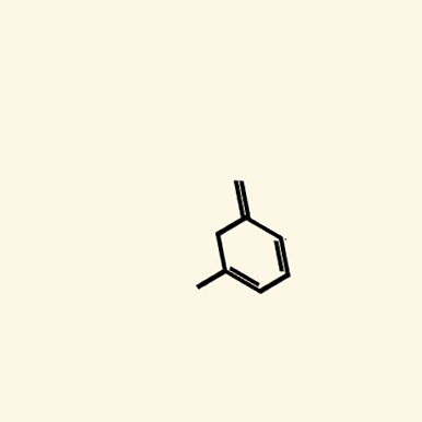 C=C1[C]=CC=C(C)C1